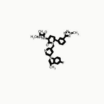 CNC(C)C(=O)Nc1ccc(-c2cccc(-c3nnn(C)n3)c2)n(Cc2cncc(-n3cc(C)c4cc(F)ccc43)c2)c1=O